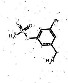 CC(C)c1cc(CN)cc(OS(C)(=O)=O)c1